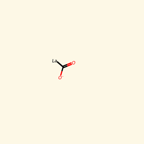 O=[C]([O-])[La]